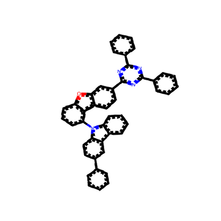 c1ccc(-c2ccc3c(c2)c2ccccc2n3-c2cccc3oc4cc(-c5nc(-c6ccccc6)nc(-c6ccccc6)n5)ccc4c23)cc1